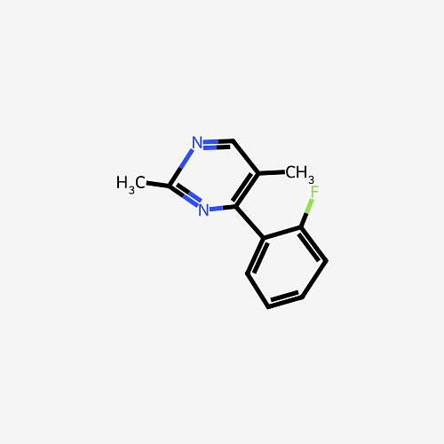 Cc1ncc(C)c(-c2ccccc2F)n1